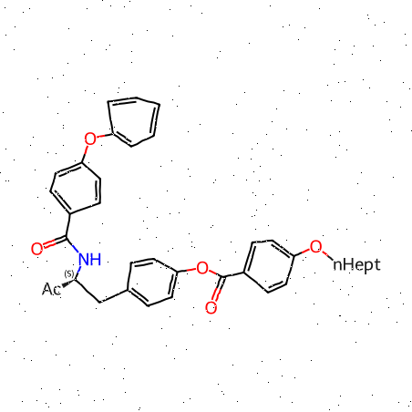 CCCCCCCOc1ccc(C(=O)Oc2ccc(C[C@H](NC(=O)c3ccc(Oc4ccccc4)cc3)C(C)=O)cc2)cc1